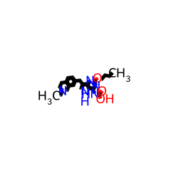 CCCCOc1nc(NC(=O)O)c2[nH]cc(Cc3ccc4c(c3)CN(CC)CC4)c2n1